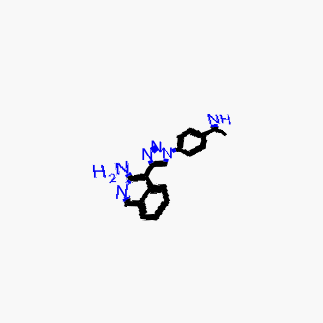 CC(=N)c1ccc(-n2cc(-c3c(N)ncc4ccccc34)nn2)cc1